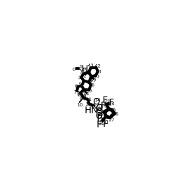 CC[C@H]1CC2C3CC[C@H]([C@H](C)CCC(=O)NS(=O)(=O)c4c(C(F)(F)F)cccc4C(F)(F)F)[C@@]3(C)CCC2[C@@]2(C)CCCC[C@@H]12